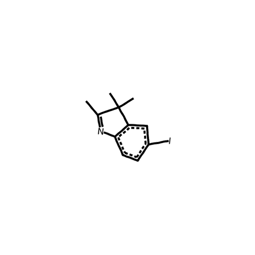 CC1=Nc2ccc(I)cc2C1(C)C